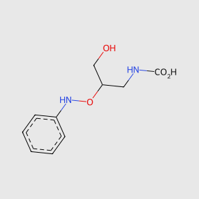 O=C(O)NCC(CO)ONc1ccccc1